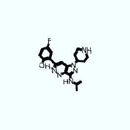 CC(C)Nc1nn(C2CCNCC2)c2cc(-c3cc(F)ccc3O)nnc12